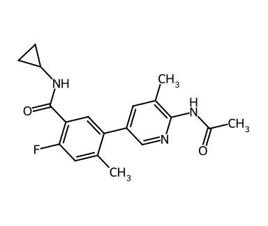 CC(=O)Nc1ncc(-c2cc(C(=O)NC3CC3)c(F)cc2C)cc1C